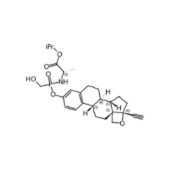 C#C[C@]12CC[C@H]3[C@@H]4CCc5cc(OP(=O)(CO)N[C@@H](C)C(=O)OC(C)C)ccc5[C@H]4CC[C@@]31CO2